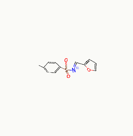 Cc1ccc(S(=O)(=O)/N=C/c2ccco2)cc1